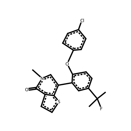 Cn1cc(-c2cc(C(C)(C)F)ccc2Oc2ccc(Cl)cc2)c2sccc2c1=O